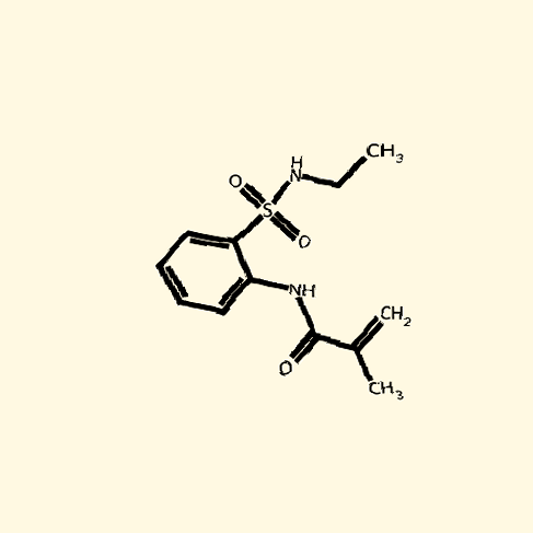 C=C(C)C(=O)Nc1ccccc1S(=O)(=O)NCC